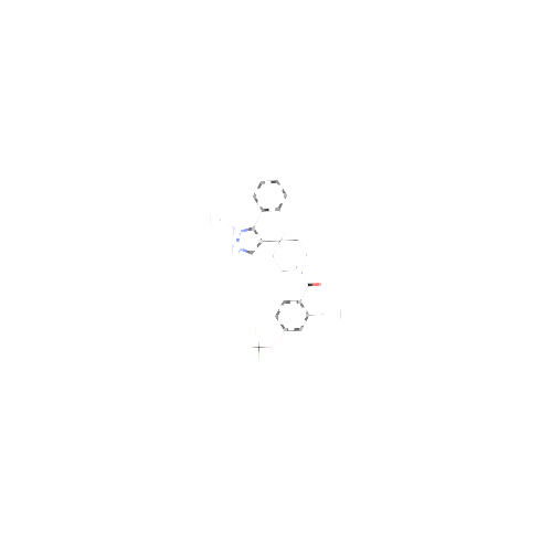 Cc1cc(OC(F)(F)F)ccc1C(=O)N1CCC2(CC1)Oc1ccccc1-c1c2cnn1C